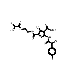 CCC(C(=O)Nc1sc(C(=O)NCCNC(=O)C(N)C(C)C)c(C)c1C(=O)OC)c1ccc(F)cc1